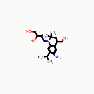 CC(C)c1cc2c(cc1N)C(CO)CC(C)(C)N2CCC(O)CO